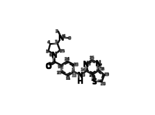 CN(C)C1CCN(C(=O)c2ccc(Nc3ncnc4ccsc34)cc2)C1